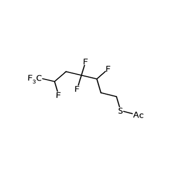 CC(=O)SCCC(F)C(F)(F)CC(F)C(F)(F)F